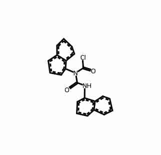 O=C(Cl)N(C(=O)Nc1cccc2ccccc12)c1cccc2ccccc12